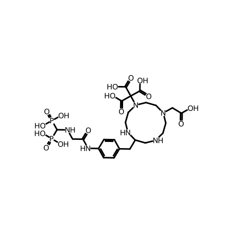 O=C(O)CN1CCNCC(Cc2ccc(NC(=O)CNC(P(=O)(O)O)P(=O)(O)O)cc2)NCCN(C(C(=O)O)(C(=O)O)C(=O)O)CC1